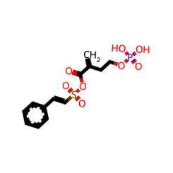 C=C(CCOP(=O)(O)O)C(=O)OS(=O)(=O)C=Cc1ccccc1